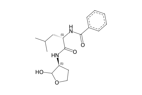 CC(C)C[C@H](NC(=O)c1ccccc1)C(=O)N[C@H]1CCOC1O